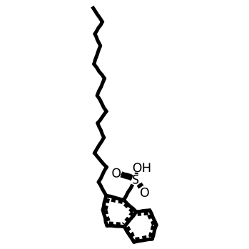 CCCCCCCCCCCCCc1ccc2ccccc2c1S(=O)(=O)O